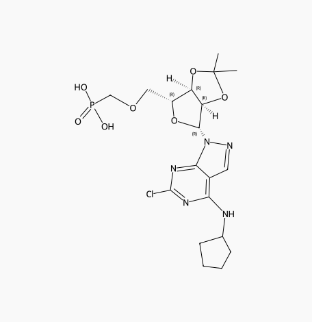 CC1(C)O[C@@H]2[C@H](O1)[C@@H](COCP(=O)(O)O)O[C@H]2n1ncc2c(NC3CCCC3)nc(Cl)nc21